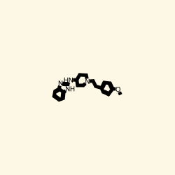 COc1ccc(CCN2CCC(Nc3nc4ccccc4[nH]3)CC2)cc1